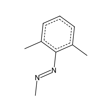 CN=Nc1c(C)cccc1C